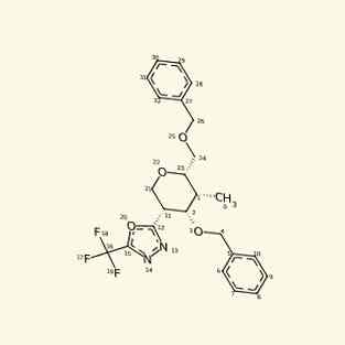 C[C@@H]1[C@H](OCc2ccccc2)[C@H](c2nnc(C(F)(F)F)o2)CO[C@@H]1COCc1ccccc1